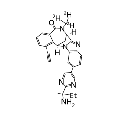 [2H]C([2H])([2H])N1C(=O)c2cccc(C#C)c2[C@H]2C[C@@H]1c1nc3ccc(-c4cnc(C(C)(N)CC)nc4)cc3n12